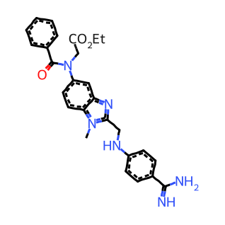 CCOC(=O)CN(C(=O)c1ccccc1)c1ccc2c(c1)nc(CNc1ccc(C(=N)N)cc1)n2C